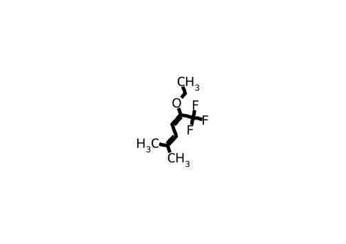 CCOC(=CC=C(C)C)C(F)(F)F